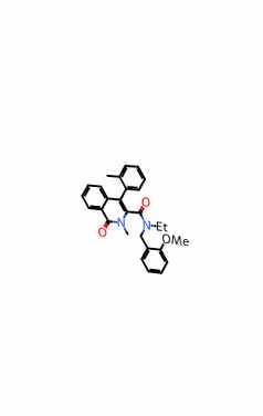 CCN(Cc1ccccc1OC)C(=O)c1c(-c2ccccc2C)c2ccccc2c(=O)n1C